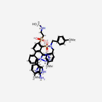 COc1ccc(CN(Cc2ccc(OC)cc2)S(=O)(=O)c2c(S(=O)(=O)CCNC(=O)O)ccc(-c3cccc(-c4c[nH]c(N)n4)c3)c2-c2nnnn2Cc2ccc(OC)cc2)cc1